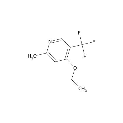 CCOc1cc(C)ncc1C(F)(F)F